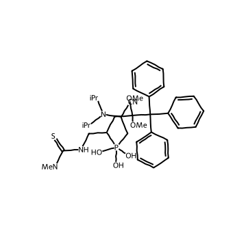 CNC(=S)NCC(CC(OC)(OC)C(c1ccccc1)(c1ccccc1)c1ccccc1)P(O)(O)(O)CC(C#N)N(C(C)C)C(C)C